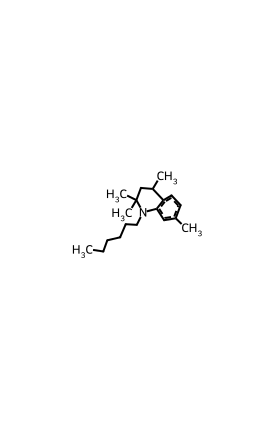 CCCCCCN1c2cc(C)ccc2C(C)CC1(C)C